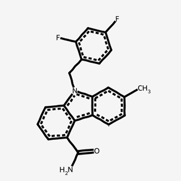 Cc1c[c]c2c3c(C(N)=O)cccc3n(Cc3ccc(F)cc3F)c2c1